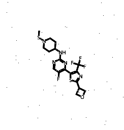 CSN1CCC(Nc2ncc(F)c(-c3sc(C4COC4)nc3C(F)(F)F)n2)CC1